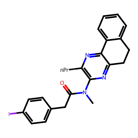 CCCc1nc2c(nc1N(C)C(=O)Cc1ccc(I)cc1)CCc1ccccc1-2